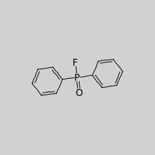 O=P(F)(c1ccccc1)c1ccccc1